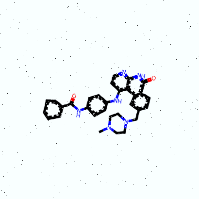 CN1CCN(Cc2ccc3c(=O)[nH]c4nccc(Nc5ccc(NC(=O)c6ccccc6)cc5)c4c3c2)CC1